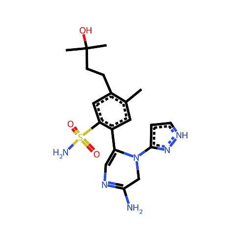 Cc1cc(C2=CN=C(N)CN2c2cc[nH]n2)c(S(N)(=O)=O)cc1CCC(C)(C)O